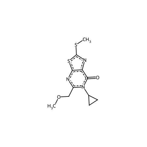 COCc1nc2sc(SC)nc2c(=O)n1C1CC1